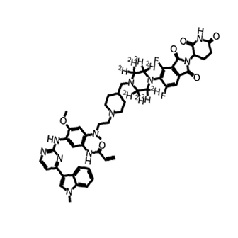 [2H]C1([2H])N(CC2CCN(CCN(C)c3cc(OC)c(Nc4nccc(-c5cn(C)c6ccccc56)n4)cc3NC(=O)C=C)CC2)C([2H])([2H])C([2H])([2H])N(c2c(F)cc3c(c2F)C(=O)N(C2CCC(=O)NC2=O)C3=O)C1([2H])[2H]